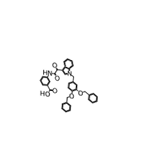 O=C(Nc1cccc(C(=O)O)c1)C(=O)c1cn(Cc2ccc(OCc3ccccc3)c(OCc3ccccc3)c2)c2ccccc12